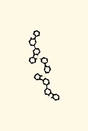 c1ccc2c(c1)oc1ccc(-c3ccc4c(c3)c3ccccc3n4-c3ccc4oc5ccc(-n6c7ccccc7c7cc(-c8ccc9oc%10ccccc%10c9c8)ccc76)cc5c4c3)cc12